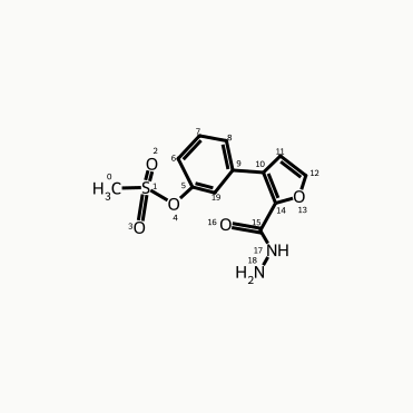 CS(=O)(=O)Oc1cccc(-c2ccoc2C(=O)NN)c1